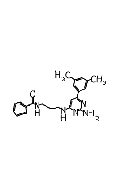 Cc1cc(C)cc(-c2cc(NCCCNC(=O)c3ccccc3)nc(N)n2)c1